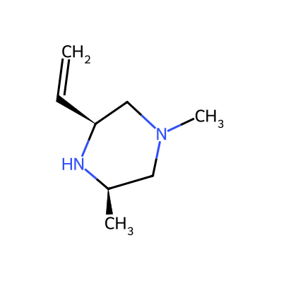 C=C[C@H]1CN(C)C[C@@H](C)N1